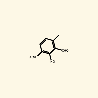 CC(=O)Nc1ccc(C)c(C=O)c1N=O